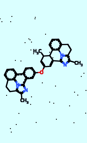 Cc1nc2n3c1CCc1cccc(c1-3)C1C2=CC(Oc2ccc3c(c2)c2nc(C)c4n2c2c(cccc32)CC4)=CC1C